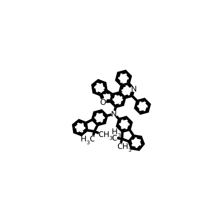 CC1(C)c2ccccc2-c2ccc(N(c3ccc4c(c3)C(C)(C)c3ccccc3-4)c3cc4c(-c5ccccc5)nc5ccccc5c4c4c3oc3ccccc34)cc21